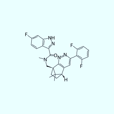 CN(C[C@@]12CC[C@@H](c3cc(-c4c(F)cccc4F)nnc31)C2(C)C)C(=O)c1n[nH]c2cc(F)ccc12